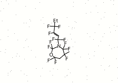 CCC(F)(F)/C(F)=C/C(F)(F)N1C(F)(F)OC(F)(F)CC(C)(F)C1(F)F